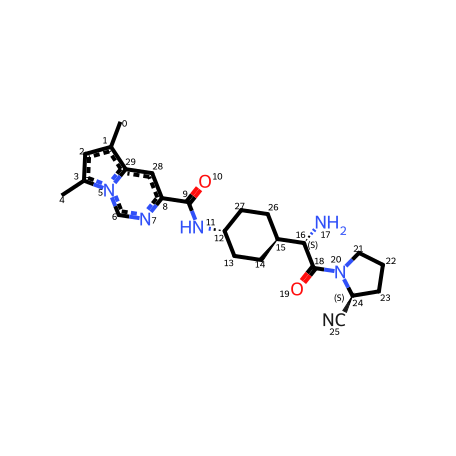 Cc1cc(C)n2cnc(C(=O)N[C@H]3CC[C@H]([C@H](N)C(=O)N4CCC[C@H]4C#N)CC3)cc12